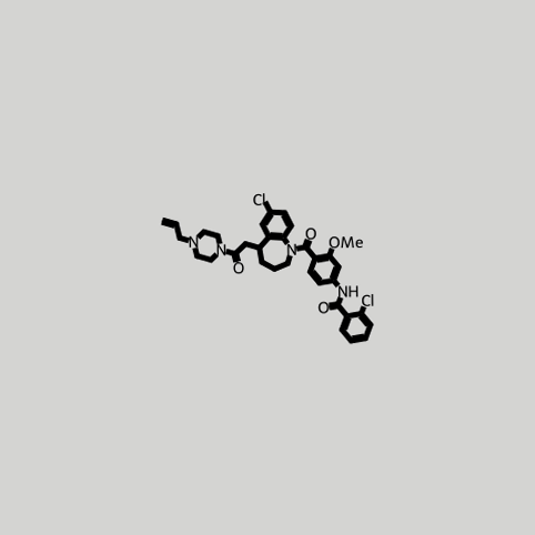 C=CCN1CCN(C(=O)CC2CCCN(C(=O)c3ccc(NC(=O)c4ccccc4Cl)cc3OC)c3ccc(Cl)cc32)CC1